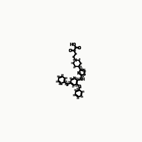 O=C(O)C(=O)CCN1CCC(c2nsc(Nc3ncc(Sc4ccccn4)cc3Oc3ccccc3)n2)CC1